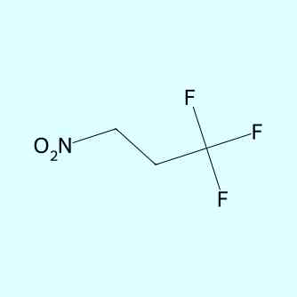 O=[N+]([O-])CCC(F)(F)F